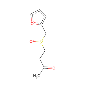 CC(=O)CC[S+]([O-])Cc1ccco1